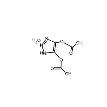 O.O=C(O)Oc1nn[nH]c1OC(=O)O